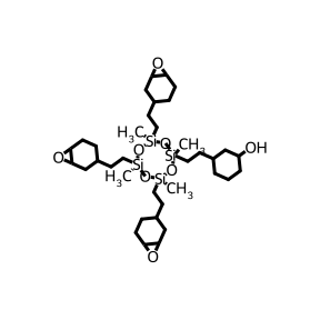 C[Si]1(CCC2CCCC(O)C2)O[Si](C)(CCC2CCC3OC3C2)O[Si](C)(CCC2CCC3OC3C2)O[Si](C)(CCC2CCC3OC3C2)O1